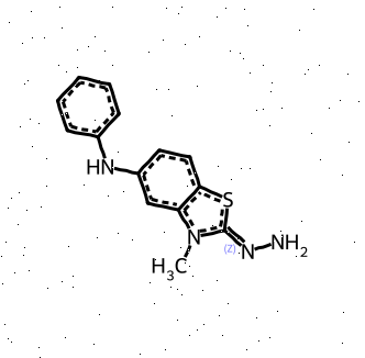 Cn1/c(=N/N)sc2ccc(Nc3ccccc3)cc21